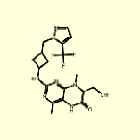 Cc1nc(NC2CC(Cn3nccc3C(F)(F)F)C2)nc2c1NC(=O)[C@H](CO)N2C